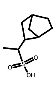 CC(C1CC2CCC1C2)S(=O)(=O)O